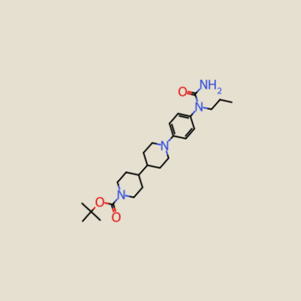 CCCN(C(N)=O)c1ccc(N2CCC(C3CCN(C(=O)OC(C)(C)C)CC3)CC2)cc1